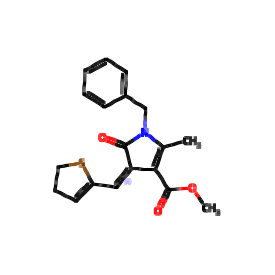 COC(=O)C1=C(C)N(Cc2ccccc2)C(=O)/C1=C\C1=CCCS1